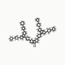 c1ccc(-c2ccc(-c3ccc4c(c3)c3cc(-c5ccc(-c6ccccc6)cc5)ccc3n4-c3ccc(-c4ccc5[nH]c6ccc(-c7ccc(-n8c9ccc(-c%10ccc(-c%11ccccc%11)cc%10)cc9c9cc(-c%10ccc(-c%11ccccc%11)cc%10)ccc98)cc7)cc6c5c4)cc3)cc2)cc1